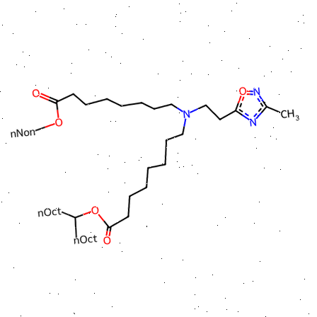 CCCCCCCCCOC(=O)CCCCCCCN(CCCCCCCC(=O)OC(CCCCCCCC)CCCCCCCC)CCc1nc(C)no1